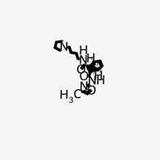 Cc1coc(NC(=O)[C@H]2[C@H](C(=O)NCCCCN3CCCC3)[C@H]3C=C[C@@H]2C32CC2)n1